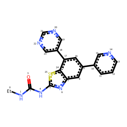 CCNC(=O)Nc1nc2cc(-c3cccnc3)cc(-c3cncnc3)c2s1